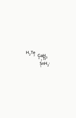 [GaH3].[SnH2].[TeH2].[Ti]